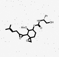 COC1C(OC(=O)N[C@@H](CO)C(C)C)CCC2(CO2)C1C1OC1CC=C(C)C